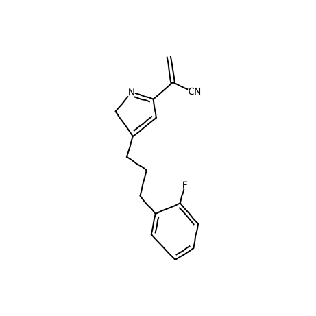 C=C(C#N)C1=NCC(CCCc2ccccc2F)=C1